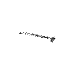 COCCOCCOCCOCCOCCOCCOCCOCCOCCC[Si](C)(O[Si](C)(C)C)O[Si](C)(C)C